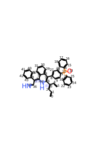 C=C/C=C(\C=C)C1=C(c2ccc(P(=O)(c3ccccc3)c3ccccc3)cc2)c2ccccc2/C(=C(/C=N)c2ccccc2)N1